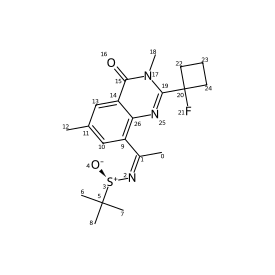 C/C(=N/[S@+]([O-])C(C)(C)C)c1cc(C)cc2c(=O)n(C)c(C3(F)CCC3)nc12